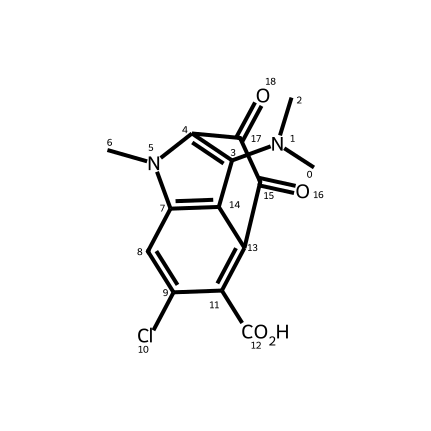 CN(C)c1c2n(C)c3cc(Cl)c(C(=O)O)c(c13)C(=O)C2=O